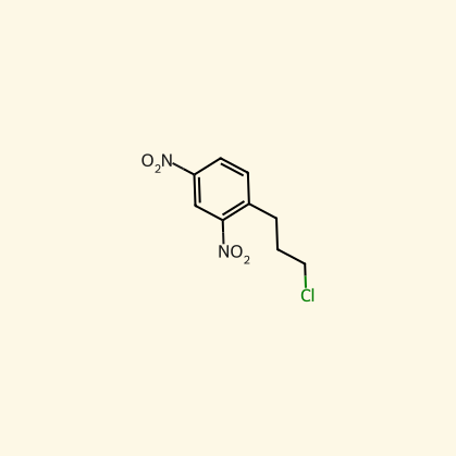 O=[N+]([O-])c1ccc(CCCCl)c([N+](=O)[O-])c1